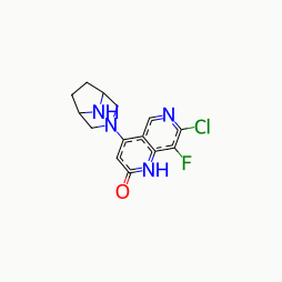 O=c1cc(N2CC3CCC(C2)N3)c2cnc(Cl)c(F)c2[nH]1